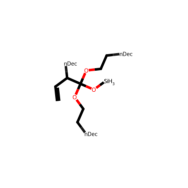 C=CC(CCCCCCCCCC)C(O[SiH3])(OCCCCCCCCCCCC)OCCCCCCCCCCCC